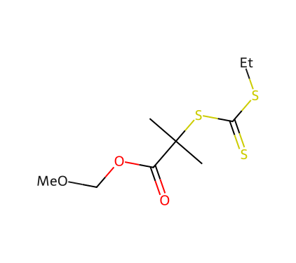 CCSC(=S)SC(C)(C)C(=O)OCOC